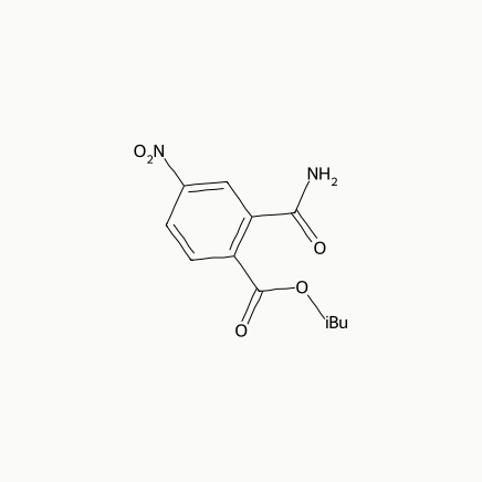 CCC(C)OC(=O)c1ccc([N+](=O)[O-])cc1C(N)=O